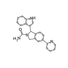 NC(=O)N1Cc2cc(-c3ccccn3)ccc2C1c1c[nH]c2ccccc12